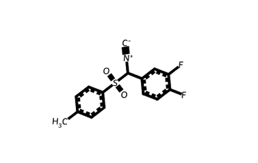 [C-]#[N+]C(c1ccc(F)c(F)c1)S(=O)(=O)c1ccc(C)cc1